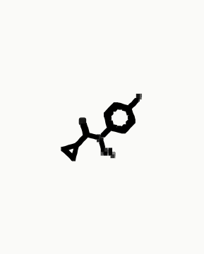 NN(C(=O)C1CC1)c1ccc(F)cc1